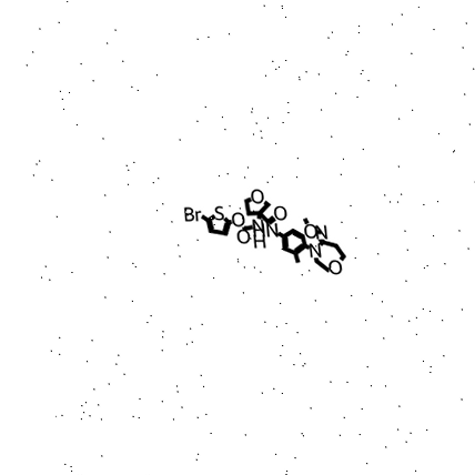 CON=C1CCOCCN1c1ccc(NC(=O)C2(NC(=O)Oc3ccc(Br)s3)CCOC2)cc1C